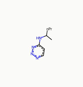 CCCC(C)Nc1ccnnn1